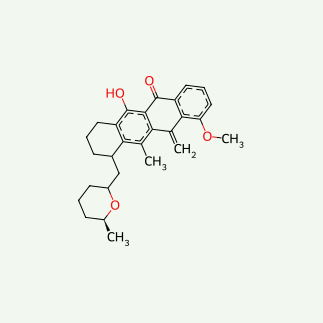 C=C1c2c(OC)cccc2C(=O)c2c(O)c3c(c(C)c21)C(CC1CCC[C@H](C)O1)CCC3